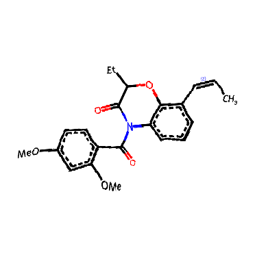 C/C=C\c1cccc2c1OC(CC)C(=O)N2C(=O)c1ccc(OC)cc1OC